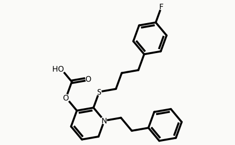 O=C(O)OC1=C(SCCCc2ccc(F)cc2)N(CCc2ccccc2)CC=C1